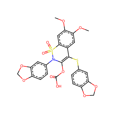 COc1cc2c(cc1OC)S(=O)(=O)N(c1ccc3c(c1)OCO3)C(OC(=O)O)=C2Sc1ccc2c(c1)OCO2